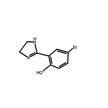 CCc1ccc(O)c(C2=NCCN2)c1